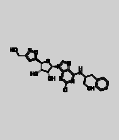 OCc1cc([C@H]2O[C@@H](n3cnc4c(N[C@H](CO)Cc5ccccc5)nc(Cl)nc43)[C@H](O)[C@@H]2O)on1